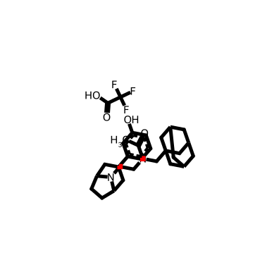 CC(=O)N(CCN1C2CCC1CC(c1cccc(O)c1)C2)CC12CC3CC(CC(C3)C1)C2.O=C(O)C(F)(F)F